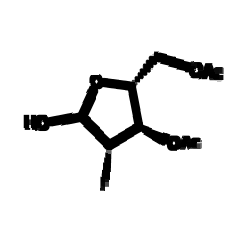 CC(=O)OC[C@H]1OC(O)[C@@H](F)[C@@H]1OC(C)=O